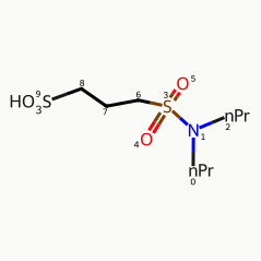 CCCN(CCC)S(=O)(=O)CCCS(=O)(=O)O